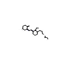 C=C1CC[C@H](O)C/C1=C/C=C1\CCC[C@]2(C)[C@@H]([C@H](C)COC(=O)CCl)CC[C@@H]12